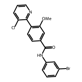 COc1cc(C(=O)Nc2cccc(Br)c2)ccc1-c1ncccc1Cl